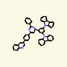 c1ccc(-c2nc(-c3ccc(-c4cnc5ccccc5c4)cc3)cc(-c3cc(-n4c5ccccc5c5ccccc54)cc(-n4c5ccccc5c5ccccc54)c3)n2)cc1